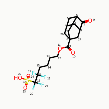 O=C1C2CC3CC1CC(C(=O)OCCCCC(F)(F)C(F)(F)S(=O)(=O)O)(C3)C2